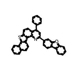 c1ccc(-c2cc(-c3ccc4c(c3)oc3ccccc34)nc3c2ccc2sc4c5ccccc5ccc4c23)cc1